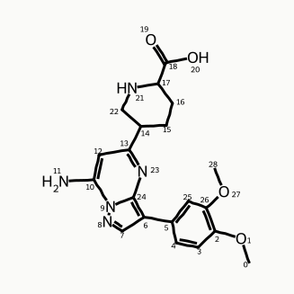 COc1ccc(-c2cnn3c(N)cc(C4CCC(C(=O)O)NC4)nc23)cc1OC